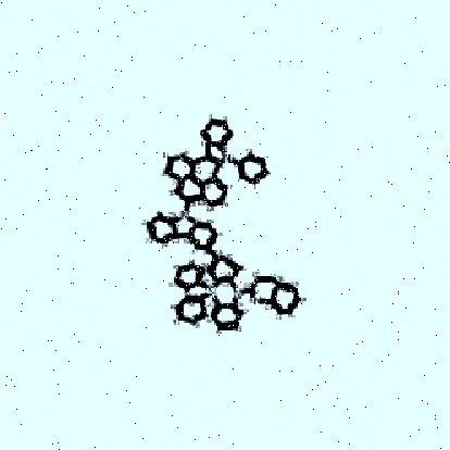 c1ccc(-n2c3ccccc3c3c4cccc5cc(-n6c7ccccc7c7cc(-c8ccc9c(c8)[Si](c8ccccc8)(c8ccccc8)c8ccccc8N9c8ccc9ccccc9n8)ccc76)c6cccc(c6c54)c32)cc1